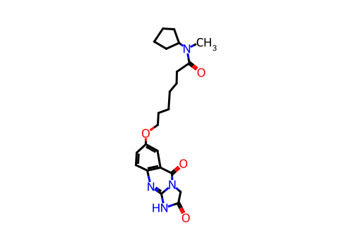 CN(C(=O)CCCCCCOc1ccc2nc3n(c(=O)c2c1)CC(=O)N3)C1CCCC1